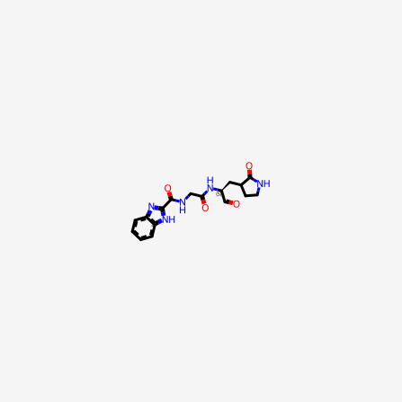 O=C[C@H](CC1CCNC1=O)NC(=O)CNC(=O)c1nc2ccccc2[nH]1